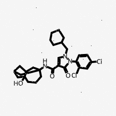 O=C(NC12CCCC3(O)CC(CC3C1)C2)c1cn(CC2CCCCC2)n(-c2ccc(Cl)cc2Cl)c1=O